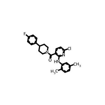 Cc1ccc(C)c(Nc2nc(Cl)ccc2C(=O)N2CCC(c3ccc(F)cc3)CC2)c1